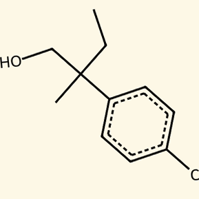 CCC(C)(CO)c1ccc(Cl)cc1